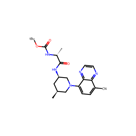 C[C@H]1C[C@@H](NC(=O)[C@@H](C)NC(=O)OC(C)(C)C)CN(c2ccc(C#N)c3nccnc23)C1